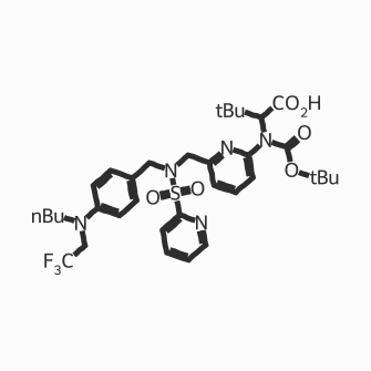 CCCCN(CC(F)(F)F)c1ccc(CN(Cc2cccc(N(C(=O)OC(C)(C)C)C(C(=O)O)C(C)(C)C)n2)S(=O)(=O)c2ccccn2)cc1